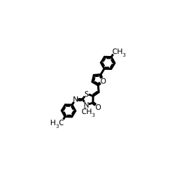 Cc1ccc(/N=C2/S/C(=C\c3ccc(-c4ccc(C)cc4)o3)C(=O)N2C)cc1